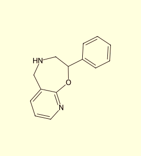 c1ccc(C2CNCc3cccnc3O2)cc1